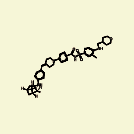 Cc1cc(S(=O)(=O)NC(=O)c2ccc(N3CCC(=Cc4ccc(N[C@H]5C[C@H]6C[C@@H]([C@@H]5C)C6(C)C)cc4)CC3)cc2)ccc1NCC1CCOCC1